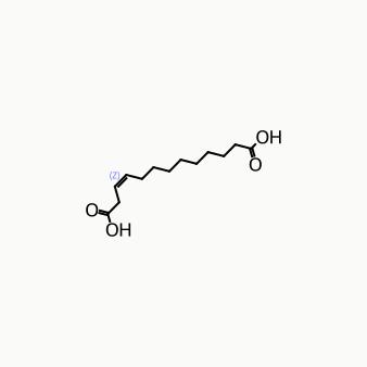 O=C(O)C/C=C\CCCCCCCCC(=O)O